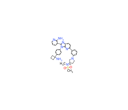 CN([C@@H]1CCN(c2cccc(-c3ccc4nc(-c5cccnc5N)n(-c5ccc(C6(N)CCC6)cc5)c4n3)c2)C1)S(C)(=O)=O